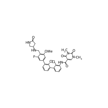 COc1cc(-c2cccc(-c3cccc(NC(=O)c4cn(C)c(=O)n(C)c4=O)c3Cl)c2Cl)cc(F)c1CN[C@H]1CNC(=O)C1